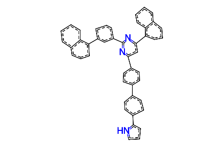 c1cc(-c2nc(-c3ccc(-c4ccc(-c5ccc[nH]5)cc4)cc3)cc(-c3cccc4ccccc34)n2)cc(-c2cccc3ccccc23)c1